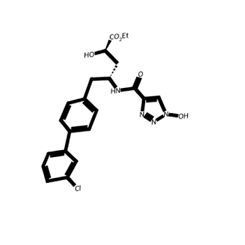 CCOC(=O)[C@H](O)C[C@@H](Cc1ccc(-c2cccc(Cl)c2)cc1)NC(=O)c1cn(O)nn1